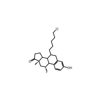 C[C@]12C[C@H](F)C3c4ccc(O)cc4CC(CCCCCCl)C3C1CCC2=O